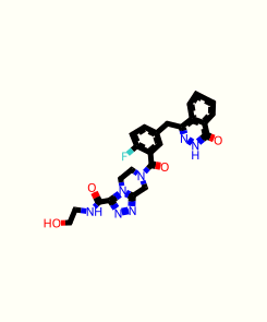 O=C(NCCO)c1nnc2n1CCN(C(=O)c1cc(Cc3n[nH]c(=O)c4ccccc34)ccc1F)C2